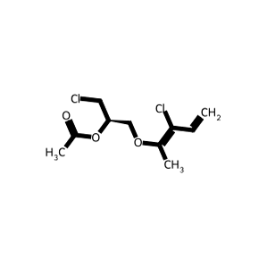 C=C/C(Cl)=C(\C)OC[C@H](CCl)OC(C)=O